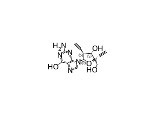 C#C[C@@H]1[C@H](n2cnc3c(O)nc(N)nc32)O[C@](C#C)(CO)[C@H]1O